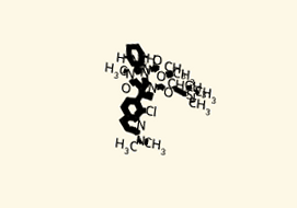 CN(C)c1ccc2ccc(-c3cn(COCC[Si](C)(C)C)c4nc(N5[C@H]6CC[C@@H]5[C@H](NC(=O)OC(C)(C)C)C6)n(C)c(=O)c34)c(Cl)c2n1